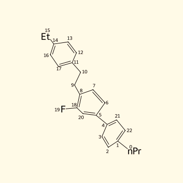 CCCc1ccc(-c2ccc(CCc3ccc(CC)cc3)c(F)c2)cc1